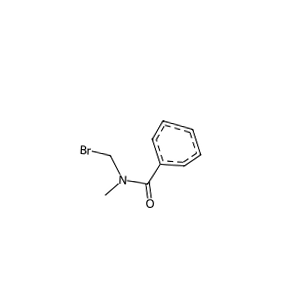 CN(CBr)C(=O)c1ccccc1